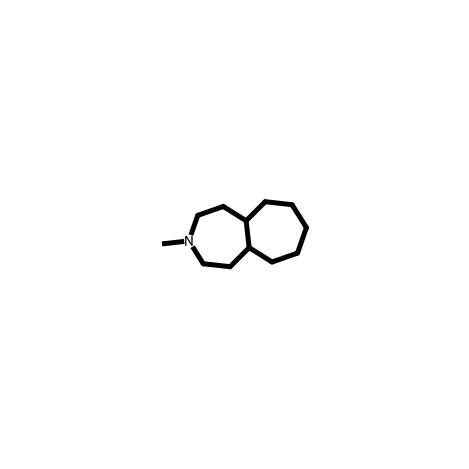 CN1CCC2CCCCCC2CC1